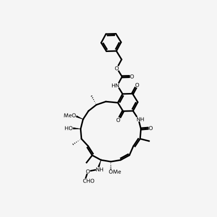 CO[C@H]1/C=C\C=C(/C)C(=O)NC2=CC(=O)C(NC(=O)OCc3ccccc3)=C(C[C@@H](C)C[C@H](OC)[C@H](O)[C@@H](C)/C=C(\C)[C@@H]1NOC=O)C2=O